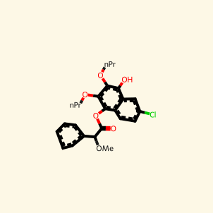 CCCOc1c(OCCC)c(OC(=O)C(OC)c2ccccc2)c2ccc(Cl)cc2c1O